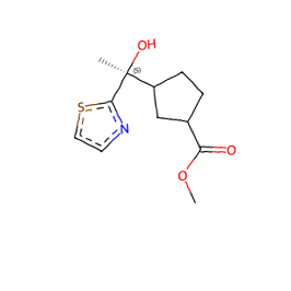 COC(=O)C1CCC([C@](C)(O)c2nccs2)C1